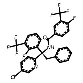 O=C(N[C@](Cc1ccccc1)(c1ccc(Cl)cn1)c1cccc(C(F)(F)F)c1F)c1ccc(F)c(C(F)(F)F)c1